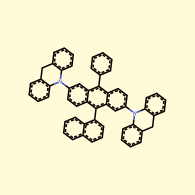 c1ccc(-c2c3cc(N4c5ccccc5Cc5ccccc54)ccc3c(-c3cccc4ccccc34)c3cc(N4c5ccccc5Cc5ccccc54)ccc23)cc1